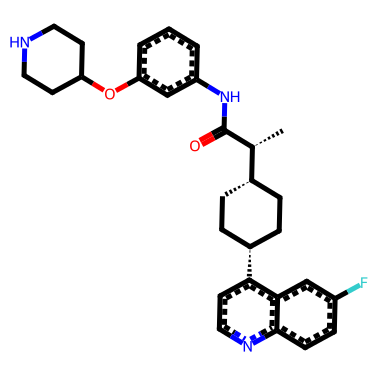 C[C@@H](C(=O)Nc1cccc(OC2CCNCC2)c1)[C@H]1CC[C@@H](c2ccnc3ccc(F)cc32)CC1